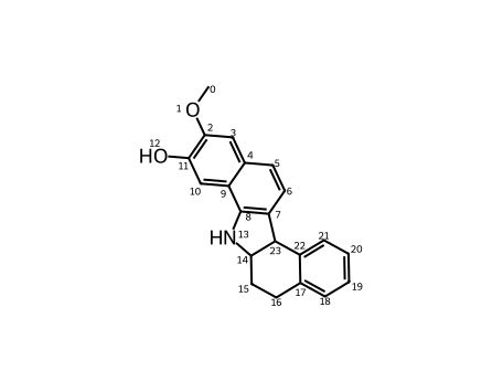 COc1cc2ccc3c(c2cc1O)NC1CCc2ccccc2C31